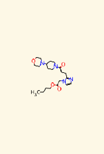 CCCCOC(=O)Cn1ccnc1CCC(=O)N1CCC(N2CCOCC2)CC1